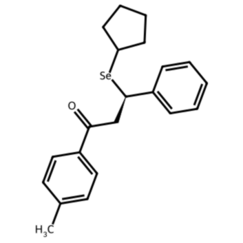 Cc1ccc(C(=O)C[C@@H]([Se]C2CCCC2)c2ccccc2)cc1